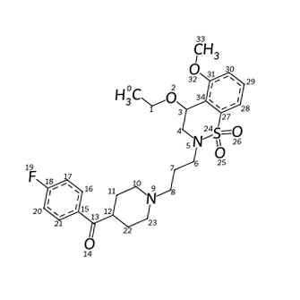 CCOC1CN(CCCN2CCC(C(=O)c3ccc(F)cc3)CC2)S(=O)(=O)c2cccc(OC)c21